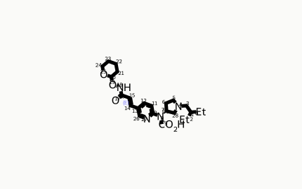 CCC(CC)CN1CC[C@@H](N(C(=O)O)c2ccc(/C=C/C(=O)NOC3CCCCO3)cn2)C1